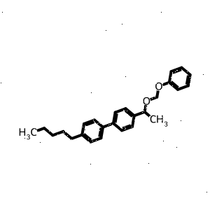 CCCCCc1ccc(-c2ccc(C(C)OCOc3ccccc3)cc2)cc1